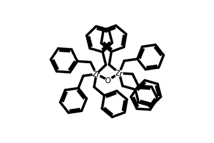 c1ccc([CH2][Zr]([CH2]c2ccccc2)([CH2]c2ccccc2)([CH2]c2ccccc2)[O][Zr]([CH2]c2ccccc2)([CH2]c2ccccc2)([CH2]c2ccccc2)[CH2]c2ccccc2)cc1